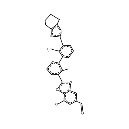 Cc1c(-c2nc3c(s2)CCCC3)cccc1-c1cccc(-c2nc3cc(C=O)cc(Cl)c3o2)c1Cl